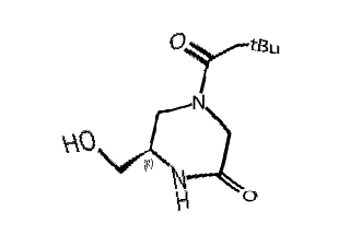 CC(C)(C)C(=O)N1CC(=O)N[C@@H](CO)C1